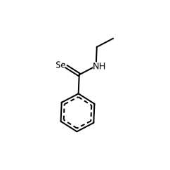 CCNC(=[Se])c1ccccc1